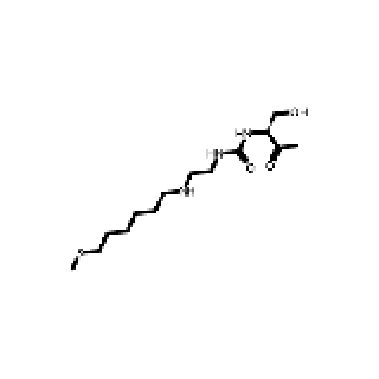 CSCCCCCCNCCNC(=O)N[C@@H](CO)C(C)=O